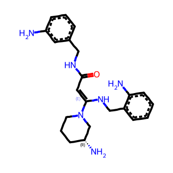 Nc1cccc(CNC(=O)/C=C(\NCc2ccccc2N)N2CCC[C@@H](N)C2)c1